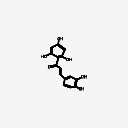 O=C(C=Cc1ccc(O)c(O)c1)c1c(O)cc(O)cc1O